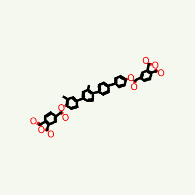 Cc1cc(-c2ccc(-c3ccc(-c4ccc(OC(=O)c5ccc6c(c5)C(=O)OC6=O)cc4)cc3)c(C)c2)ccc1OC(=O)c1ccc2c(c1)C(=O)OC2=O